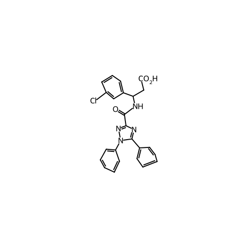 O=C(O)CC(NC(=O)c1nc(-c2ccccc2)n(-c2ccccc2)n1)c1cccc(Cl)c1